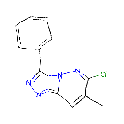 Cc1cc2nnc(-c3ccccc3)n2nc1Cl